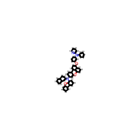 c1ccc(N(c2cccc(Oc3ccc4c5c(cccc35)Oc3cc(N(c5ccc6ccccc6c5)c5cccc6c5oc5ccccc56)ccc3-4)c2)c2ccccn2)cc1